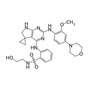 COc1cc(N2CCOCC2)ccc1Nc1nc2c(c(Nc3ccccc3S(=O)(=O)NCCO)n1)C1(CC1)CN2